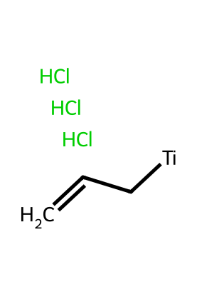 C=C[CH2][Ti].Cl.Cl.Cl